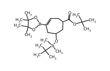 CC(C)(C)OC(=O)C1CC=C(B2OC(C)(C)C(C)(C)O2)CC(O[Si](C)(C)C(C)(C)C)C1